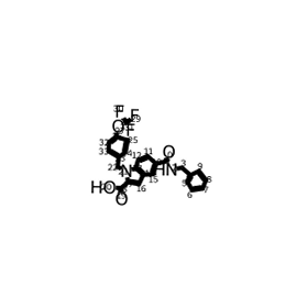 O=C(NCc1ccccc1)c1ccc2c(c1)cc(C(=O)O)n2Cc1ccc(OC(F)(F)F)cc1